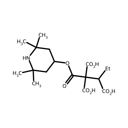 CCC(C(=O)O)C(C(=O)O)(C(=O)O)C(=O)OC1CC(C)(C)NC(C)(C)C1